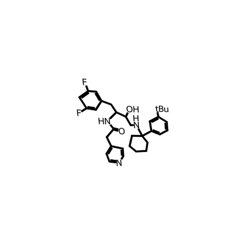 CC(C)(C)c1cccc(C2(NCC(O)C(Cc3cc(F)cc(F)c3)NC(=O)Cc3ccncc3)CCCCC2)c1